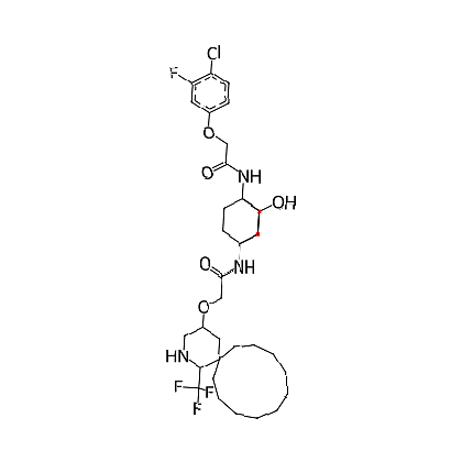 O=C(COC1CNC(C(F)(F)F)C2(CCCCCCCCCC2)C1)NC12CCC(NC(=O)COc3ccc(Cl)c(F)c3)(CC1)C(O)C2